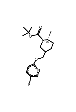 C[C@@H]1CCC(COc2ccc(F)cn2)CN1C(=O)OC(C)(C)C